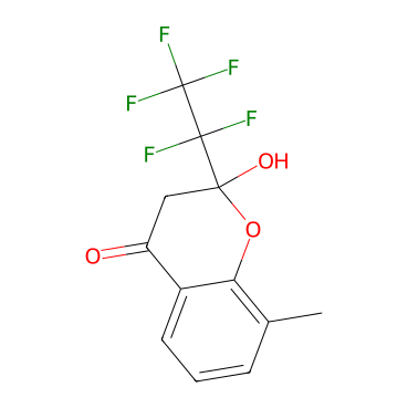 Cc1cccc2c1OC(O)(C(F)(F)C(F)(F)F)CC2=O